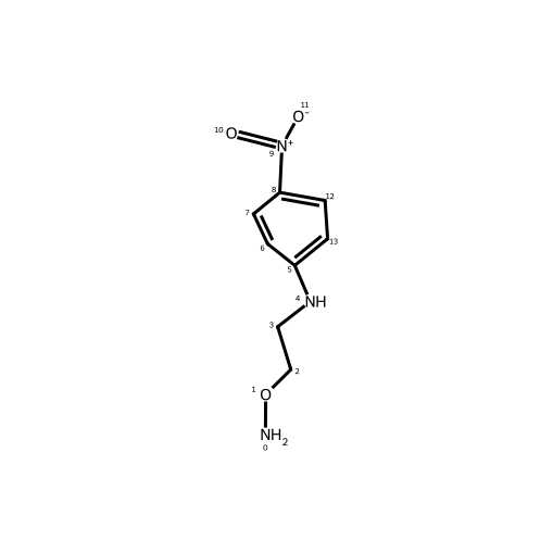 NOCCNc1ccc([N+](=O)[O-])cc1